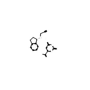 C#CCN[C@@H]1CCc2ccccc21.O=C(O)c1cc(=O)[nH]c(=O)[nH]1